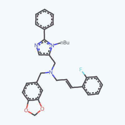 CCCCn1c(CN(CC=Cc2ccccc2F)Cc2ccc3c(c2)OCO3)cnc1-c1ccccc1